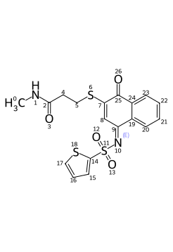 CNC(=O)CCSC1=C/C(=N\S(=O)(=O)c2cccs2)c2ccccc2C1=O